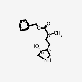 CN(CC[C@H]1CNC[C@@H]1O)C(=O)OCc1ccccc1